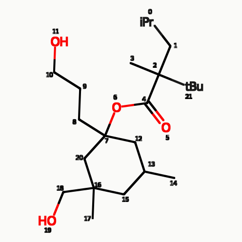 CC(C)CC(C)(C(=O)OC1(CCCO)CC(C)CC(C)(CO)C1)C(C)(C)C